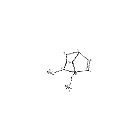 N#CC1CC2C=CC1(C#N)C2